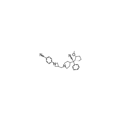 COC1CCC[C@@H]1[C@](C#N)(c1ccccc1)C1CCN(CC2CN(c3ccc(C#N)cc3)C2)CC1